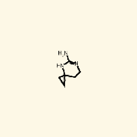 NC1=NCCC2(CC2)N1